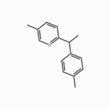 Cc1ccc(C(C)c2ccc(C)cn2)cc1